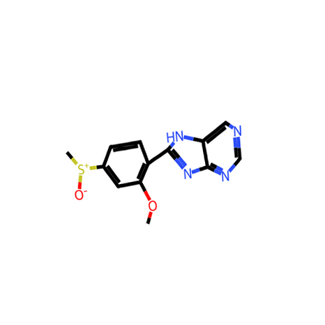 COc1cc([S+](C)[O-])ccc1-c1nc2ncncc2[nH]1